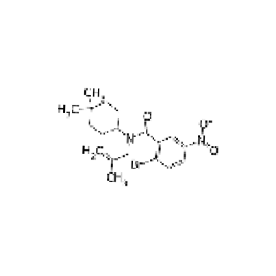 C=C(C)CN(C(=O)c1cc([N+](=O)[O-])ccc1Br)C1CCC(C)(C)CC1